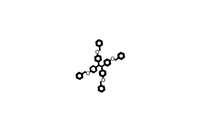 C1=C(OCc2ccccc2)CCC(C(c2ccc(OCc3ccccc3)cc2)C(c2ccc(OCc3ccccc3)cc2)c2ccc(OCc3ccccc3)cc2)=C1